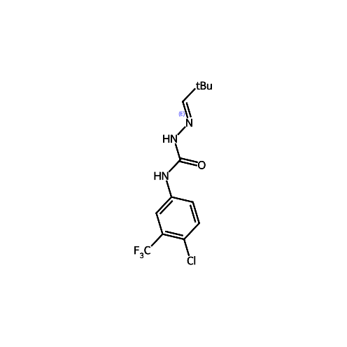 CC(C)(C)/C=N/NC(=O)Nc1ccc(Cl)c(C(F)(F)F)c1